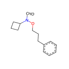 O=CN(OCCCc1ccccc1)C1CCC1